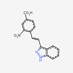 O=C(O)c1ccc(C=Cc2n[nH]c3ccccc23)c([N+](=O)[O-])c1